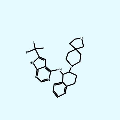 FC(F)(F)c1cc2c(NC3c4ccccc4CCC3N3CCC4(CCOC4)CC3)ncnc2[nH]1